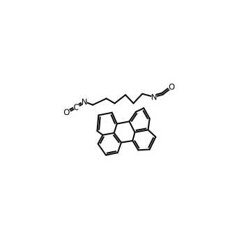 O=C=NCCCCCCN=C=O.c1cc2cccc3c4cccc5cccc(c(c1)c23)c54